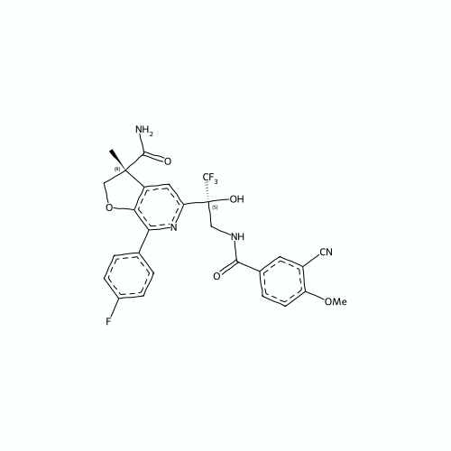 COc1ccc(C(=O)NC[C@](O)(c2cc3c(c(-c4ccc(F)cc4)n2)OC[C@]3(C)C(N)=O)C(F)(F)F)cc1C#N